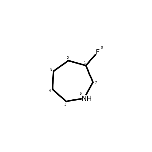 FC1CCCCNC1